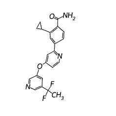 CC(F)(F)c1cncc(Oc2ccnc(-c3ccc(C(N)=O)c(C4CC4)c3)c2)c1